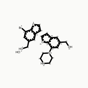 Cl.OCc1cc(Br)c2occc2c1.OCc1cc(N2CCNCC2)c2occc2c1